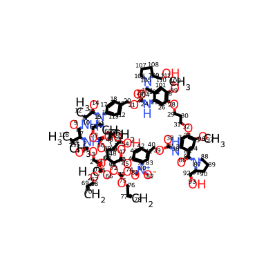 C=CCOC(=O)NC(C(=O)NC(C)C(=O)Nc1ccc(COC(=O)Nc2cc(OCCCOc3cc(NC(=O)OCc4ccc(O[C@H]5O[C@](CC=C)(C(=O)O)[C@@H](OC(=O)OCC=C)[C@H](OC(=O)OCC=C)[C@H]5OC(=O)OCC=C)c([N+](=O)[O-])c4)c(C(=O)N4CCCC4CO)cc3OC)c(OC)cc2C(=O)N2CCCC2CO)cc1)C(C)C